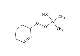 CC(C)(C)OOC1C=CCCC1